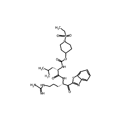 CCS(=O)(=O)N1CCC(OC(=O)N[C@@H](CC(C)C)C(=O)N[C@@H](CCCNC(=N)N)C(=O)c2nc3ccccc3s2)CC1